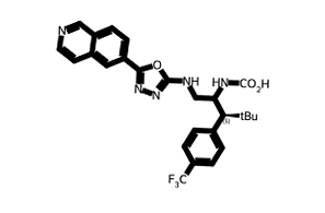 CC(C)(C)[C@@H](c1ccc(C(F)(F)F)cc1)C(CNc1nnc(-c2ccc3cnccc3c2)o1)NC(=O)O